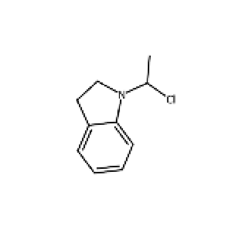 CC(Cl)N1CCc2ccccc21